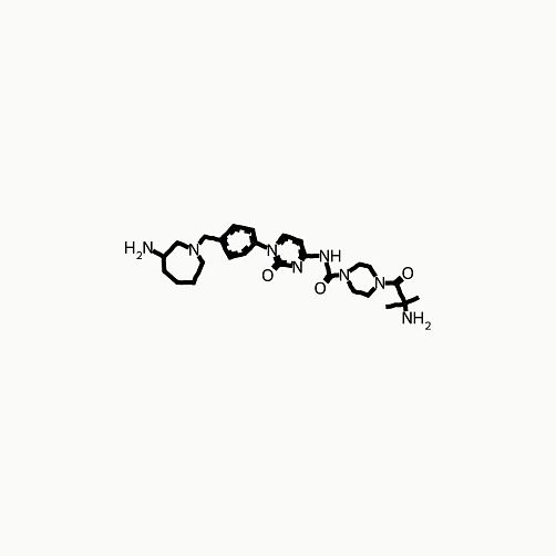 CC(C)(N)C(=O)N1CCN(C(=O)Nc2ccn(-c3ccc(CN4CCCCC(N)C4)cc3)c(=O)n2)CC1